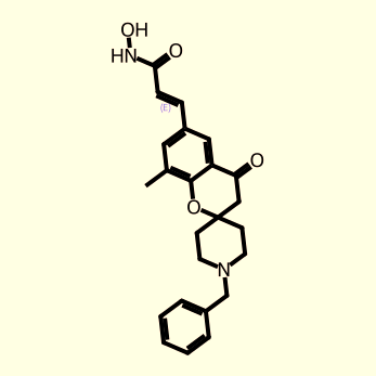 Cc1cc(/C=C/C(=O)NO)cc2c1OC1(CCN(Cc3ccccc3)CC1)CC2=O